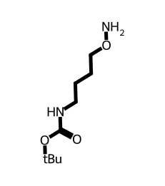 CC(C)(C)OC(=O)NCCCCON